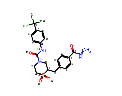 NNC(=O)c1ccc(CC2CN(C(=O)Nc3ccc(C(F)(F)F)cc3)CCS2(=O)=O)cc1